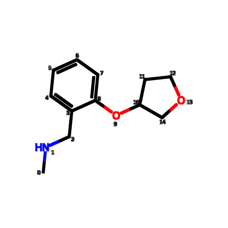 CNCc1ccccc1OC1CCOC1